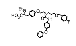 CCOC(Cc1ccc(OCCN(CCCOCc2ccc(F)cc2)C(=O)Nc2ccc(Oc3ccccc3)cc2)cc1)C(=O)O